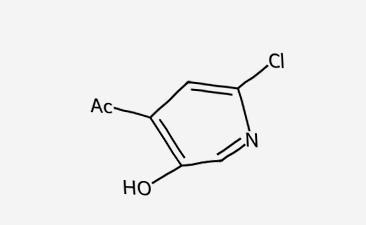 CC(=O)c1cc(Cl)ncc1O